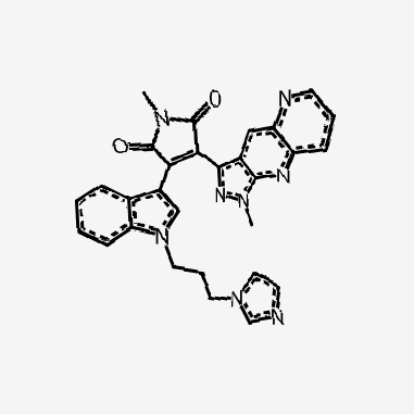 CN1C(=O)C(c2cn(CCCn3ccnc3)c3ccccc23)=C(c2nn(C)c3nc4cccnc4cc23)C1=O